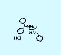 Cl.O=C(CNC(c1ccccc1)c1ccccc1)NCc1ccccc1